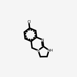 Clc1ccc2c(c1)N=C1NCCN1C2